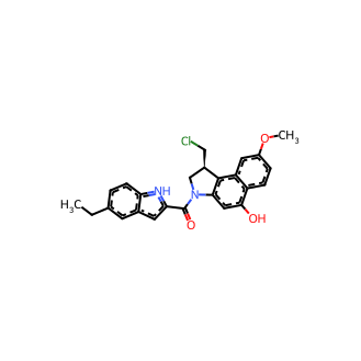 CCc1ccc2[nH]c(C(=O)N3C[C@@H](CCl)c4c3cc(O)c3ccc(OC)cc43)cc2c1